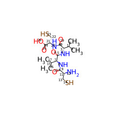 CC(C)[C@H](NC(=O)[C@@H](NC(=O)[C@@H](N)CS)C(C)C)C(=O)N[C@@H](CS)C(=O)O